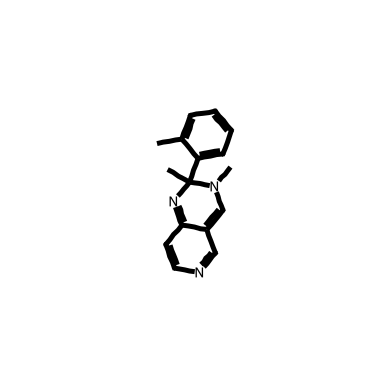 Cc1ccccc1C1(C)N=c2ccncc2=CN1C